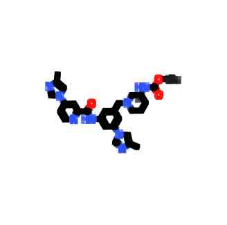 Cc1cn(-c2cc(CN3CCC[C@H](NC(=O)OC(C)(C)C)C3)cc(NC(=O)c3cc(-n4cnc(C)c4)ccn3)c2)cn1